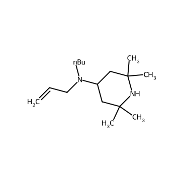 C=CCN(CCCC)C1CC(C)(C)NC(C)(C)C1